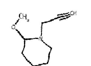 C#CCN1CCCCC1OC